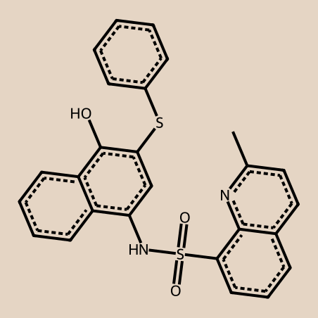 Cc1ccc2cccc(S(=O)(=O)Nc3cc(Sc4ccccc4)c(O)c4ccccc34)c2n1